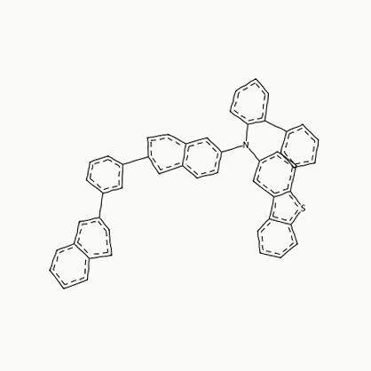 c1ccc(-c2ccccc2N(c2ccc3cc(-c4cccc(-c5ccc6ccccc6c5)c4)ccc3c2)c2ccc3sc4ccccc4c3c2)cc1